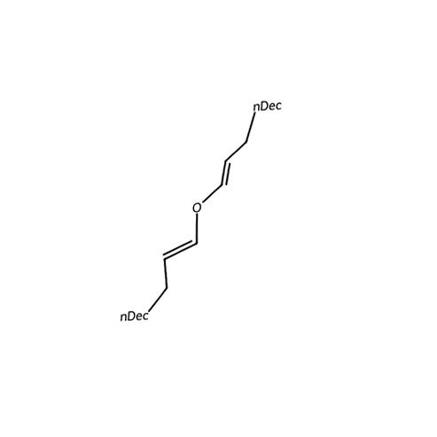 CCCCCCCCCCCC=COC=CCCCCCCCCCCC